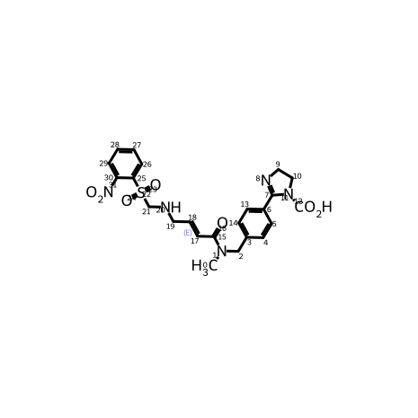 CN(Cc1ccc(C2=NCCN2C(=O)O)cc1)C(=O)/C=C/CNCS(=O)(=O)c1ccccc1[N+](=O)[O-]